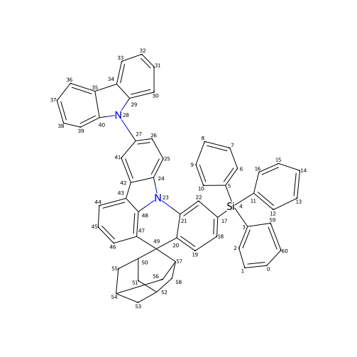 c1ccc([Si](c2ccccc2)(c2ccccc2)c2ccc3c(c2)-n2c4ccc(-n5c6ccccc6c6ccccc65)cc4c4cccc(c42)C32C3CC4CC(C3)CC2C4)cc1